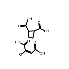 O=C(O)/C=C(/Cl)C(=O)O.O=C(O)C1CCC1C(=O)O